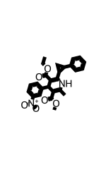 CCOC(=O)C1=C(C2CC2c2ccccc2)NC(C)=C(C(=O)OC)C1c1cccc([N+](=O)[O-])c1